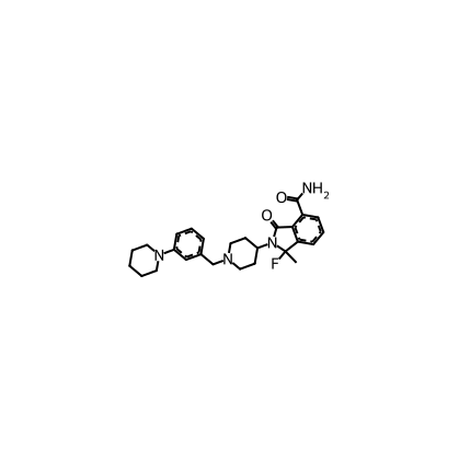 CC1(F)c2cccc(C(N)=O)c2C(=O)N1C1CCN(Cc2cccc(N3CCCCC3)c2)CC1